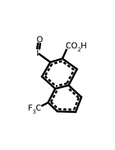 O=Ic1cc2c(C(F)(F)F)cccc2cc1C(=O)O